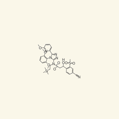 COc1cccc(-c2nnc(N(CC[Si](C)(C)C)S(=O)(=O)CC(O)c3ccc(C#N)cc3S(C)(=O)=O)n2-c2c(OC)cccc2OC)n1